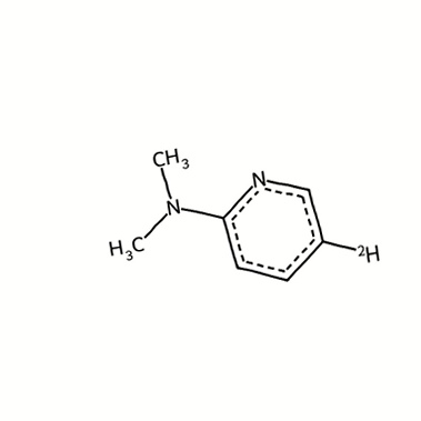 [2H]c1ccc(N(C)C)nc1